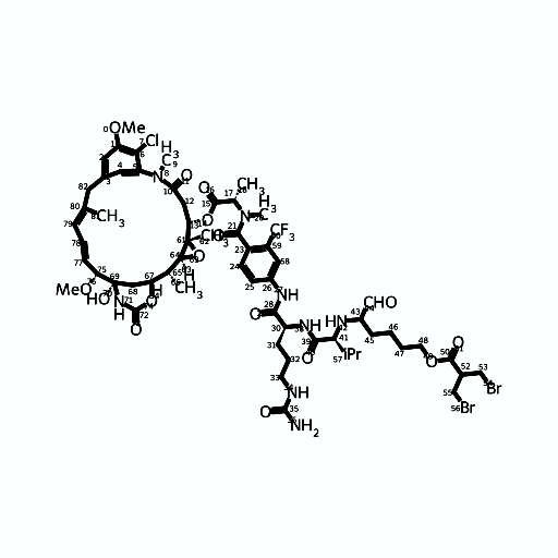 COc1cc2cc(c1Cl)N(C)C(=O)C[C@H](OC(=O)[C@H](C)N(C)C(=O)c1ccc(NC(=O)[C@H](CCCNC(N)=O)NC(=O)[C@@H](NC(C=O)CCCCOC(=O)C(CBr)CBr)C(C)C)cc1C(F)(F)F)[C@]1(C)O[C@H]1[C@H](C)[C@@H]1C[C@@](O)(NC(=O)O1)[C@H](OC)/C=C/C=C(\C)C2